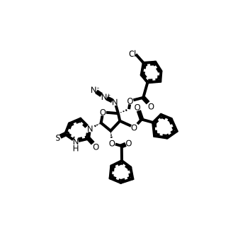 [N-]=[N+]=N[C@]1(COC(=O)c2cccc(Cl)c2)O[C@@H](n2ccc(=S)[nH]c2=O)[C@@H](OC(=O)c2ccccc2)C1OC(=O)c1ccccc1